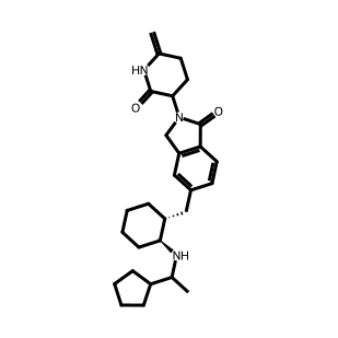 C=C1CCC(N2Cc3cc(C[C@H]4CCCC[C@@H]4NC(C)C4CCCC4)ccc3C2=O)C(=O)N1